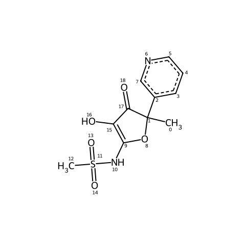 CC1(c2cccnc2)OC(NS(C)(=O)=O)=C(O)C1=O